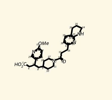 COc1ccc(C(CC(=O)O)CC2CCN(C(=O)CCc3ccc4c(n3)NCCC4)CC2)cn1